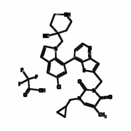 Cc1cn(CC2CC2)c(=O)n(Cc2cc3nccc(-c4cc(Cl)cc5ccn(CC6(C#N)CCNCC6)c45)c3s2)c1=O.O=C(O)C(F)(F)F